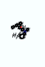 C=C(/C=C\C(=C/CC)c1cc(C2=CC=CCC2)ccc1-c1ccccc1)c1ccc(N(c2ccccc2)c2ccc3c(c2)CC(C)(C)C/C=C\C=C/C3)cc1